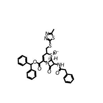 Cc1nnc(SCC2C=C(C(=O)OC(c3ccccc3)c3ccccc3)N3C(=O)C(NC(=O)Cc4ccccc4)[C@@H]3[S+]2[O-])s1